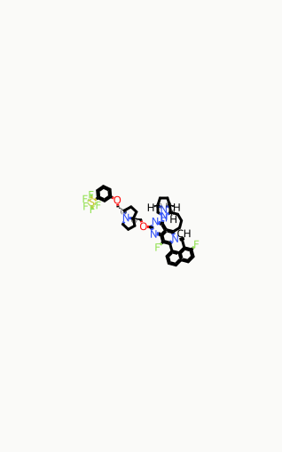 C#Cc1c(F)ccc2cccc(-c3nc4c5c(nc(OC[C@@]67CCCN6[C@H](COc6cccc(S(F)(F)(F)(F)F)c6)CC7)nc5c3F)N3C[C@@H]5CC[C@@H](N5)[C@H]3CCC4)c12